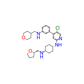 Clc1cnc(N[C@H]2CC[C@H](NC[C@H]3CCCO3)CC2)cc1-c1cccc(NCC2CCOCC2)c1